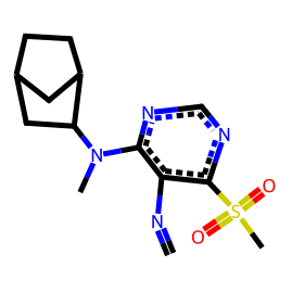 C=Nc1c(N(C)C2CC3CCC2C3)ncnc1S(C)(=O)=O